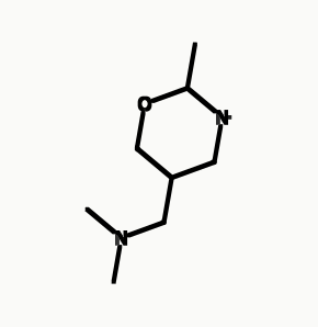 CC1[N]CC(CN(C)C)CO1